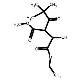 CCOC(=O)C(O)C(C(=O)OC)C(=O)C(C)(C)C